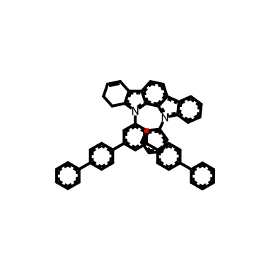 C1=Cc2c(n(-c3cc(-c4ccc(-c5ccccc5)cc4)cc(-c4ccc(-c5ccccc5)cc4)c3)c3c2ccc2c4ccccc4n(-c4ccccc4)c23)CC1